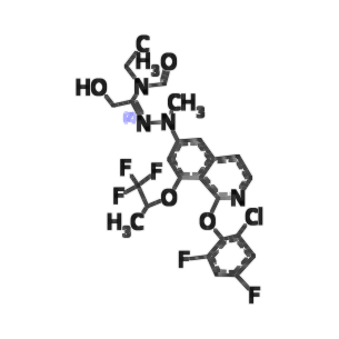 CCN(C=O)/C(CO)=N\N(C)c1cc(OC(C)C(F)(F)F)c2c(Oc3c(F)cc(F)cc3Cl)nccc2c1